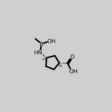 CB(O)N[C@H]1CC[C@@H](C(=O)O)C1